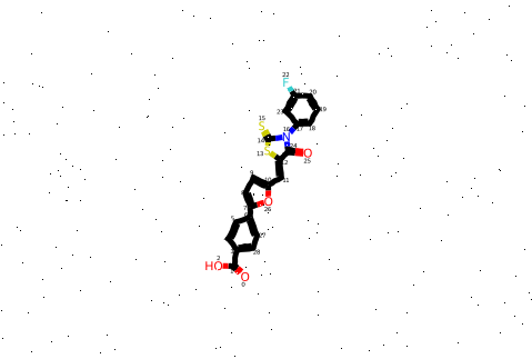 O=C(O)c1ccc(-c2ccc(/C=C3\SC(=S)N(c4cccc(F)c4)C3=O)o2)cc1